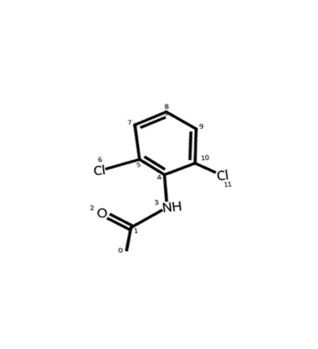 CC(=O)Nc1c(Cl)c[c]cc1Cl